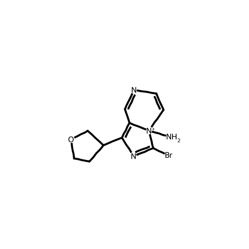 N[N+]12C=CN=CC1=C(C1CCOC1)N=C2Br